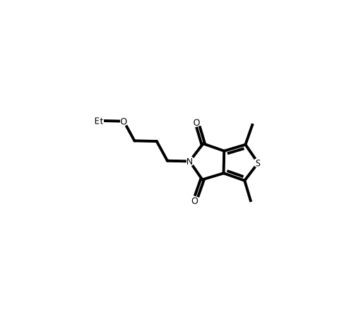 CCOCCCN1C(=O)c2c(C)sc(C)c2C1=O